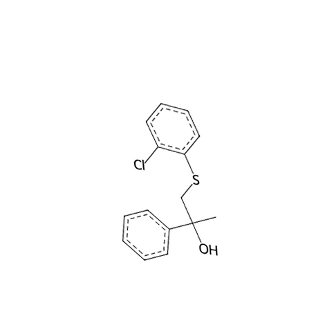 CC(O)(CSc1ccccc1Cl)c1ccccc1